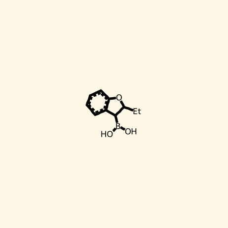 CCC1Oc2ccccc2C1B(O)O